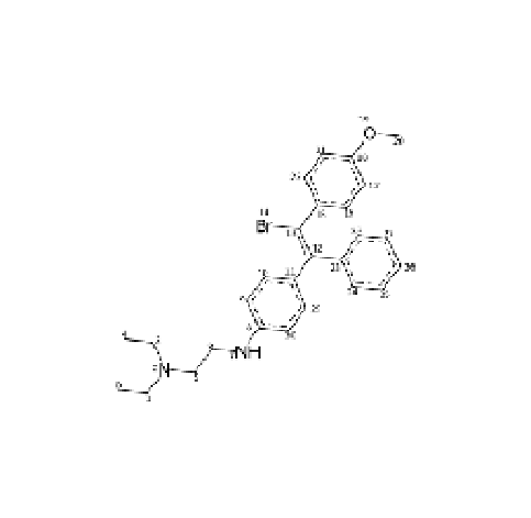 CCN(CC)CCNc1ccc(C(=C(Br)c2ccc(OC)cc2)c2ccccc2)cc1